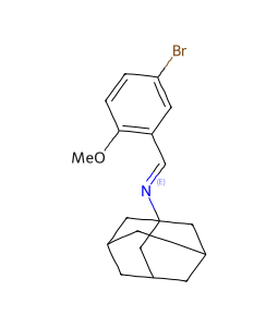 COc1ccc(Br)cc1/C=N/C12CC3CC(CC(C3)C1)C2